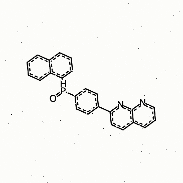 O=[PH](c1ccc(-c2ccc3cccnc3n2)cc1)c1cccc2ccccc12